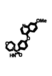 COc1ccc2c(Oc3ccc(S(=N)(=O)N4CCOCC4)cc3)ccnc2c1